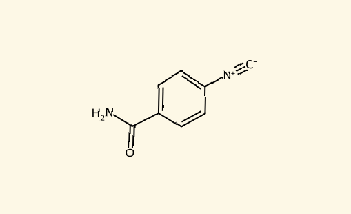 [C-]#[N+]c1ccc(C(N)=O)cc1